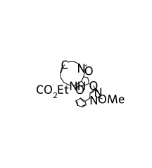 CCOC(=O)C1CCC=CCCCCN(C)C(=O)C2CC(Oc3cc(-c4ccccc4)nc(OC)n3)CC2C(=O)N1